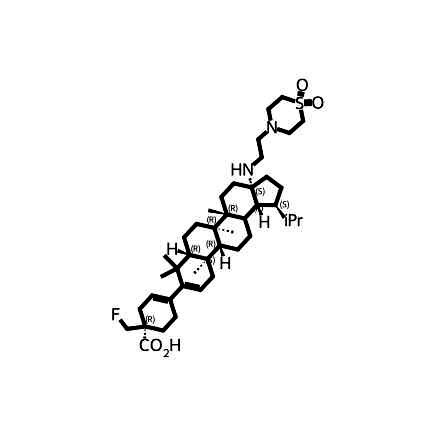 CC(C)[C@@H]1CC[C@]2(NCCN3CCS(=O)(=O)CC3)CC[C@]3(C)C(CC[C@@H]4[C@@]5(C)CC=C(C6=CC[C@@](CF)(C(=O)O)CC6)C(C)(C)[C@@H]5CC[C@]43C)[C@@H]12